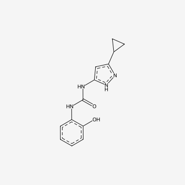 O=C(Nc1cc(C2CC2)n[nH]1)Nc1ccccc1O